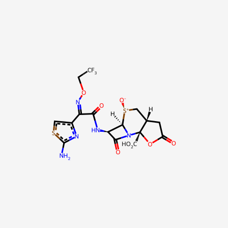 Nc1nc(/C(=N/OCC(F)(F)F)C(=O)N[C@@H]2C(=O)N3[C@@H]2[S@@+]([O-])C[C@@H]2CC(=O)O[C@@]23C(=O)O)cs1